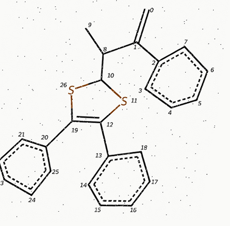 C=C(c1ccccc1)C(C)C1SC(c2ccccc2)=C(c2ccccc2)S1